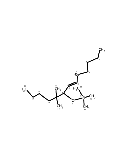 CCC[CH2][Sn][CH]=CC(O[Si](C)(C)C)C(C)(C)CCCC